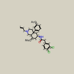 C=CCN1CCC2(c3cccc(OC(C)=O)c3)C[C@@H](NC(=O)Cc3ccc(Cl)c(Cl)c3)CC(OC)C2C1